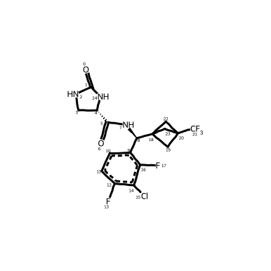 O=C1NC[C@@H](C(=O)N[C@H](c2ccc(F)c(Cl)c2F)C23CC(C(F)(F)F)(C2)C3)N1